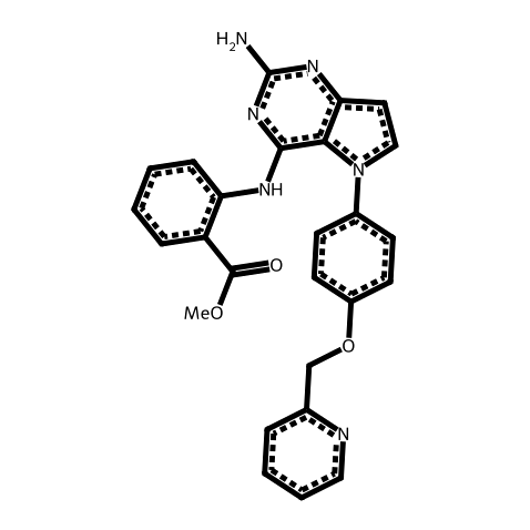 COC(=O)c1ccccc1Nc1nc(N)nc2ccn(-c3ccc(OCc4ccccn4)cc3)c12